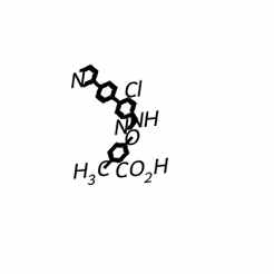 Cc1ccc(Oc2nc3cc(-c4ccc(-c5cccnc5)cc4)c(Cl)cc3[nH]2)cc1C(=O)O